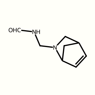 O=CNCN1CC2C=CC1C2